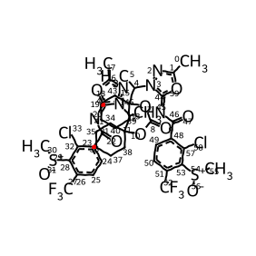 Cc1nn(C(C)C2(OC(=O)OC3(C(C)n4nc(C)oc4=NC(=O)c4ccc(C(F)(F)F)c([S+](C)[O-])c4Cl)CCCCC3)CCCCC2)c(=NC(=O)c2ccc(C(F)(F)F)c([S+](C)[O-])c2Cl)o1